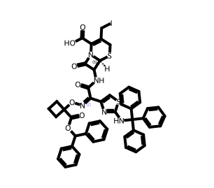 O=C(O)C1=C(CI)CS[C@H]2C(NC(=O)/C(=N\OC3(C(=O)OC(c4ccccc4)c4ccccc4)CCC3)c3csc(NC(c4ccccc4)(c4ccccc4)c4ccccc4)n3)C(=O)N12